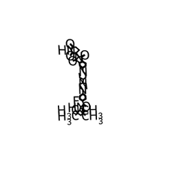 CC1(C)CC(C)(C)C1NC(=O)c1ccc(N2CCN(C3CCN(c4ccc5c(c4)C(=O)N(C4CCC(=O)NC4=O)C5=O)CC3)CC2)cc1F